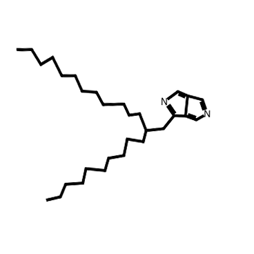 CCCCCCCCCCCCC(CCCCCCCCCC)CC1=NC=C2C=NC=C21